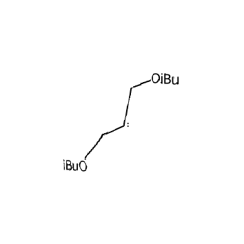 CC(C)COC[C]COCC(C)C